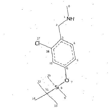 CNCc1ccc(O[Si](C)(C)C(C)(C)C)cc1Cl